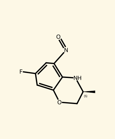 C[C@H]1COc2cc(F)cc(N=O)c2N1